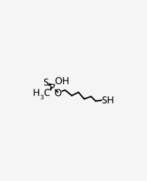 CP(O)(=S)OCCCCCCS